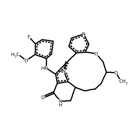 COc1c(F)cccc1Nc1c2[nH]c3c1C(=O)NCC3CCCC(OC)COc1cnccc1-2